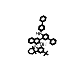 CC(C)(C)c1cc2c3c(c1)C1(C)CCCCC1(C)N3c1c(c(-c3cc(-c4ccccc4)ccc3Nc3ccc(-c4ccccc4)cc3)cc3ccccc13)B2